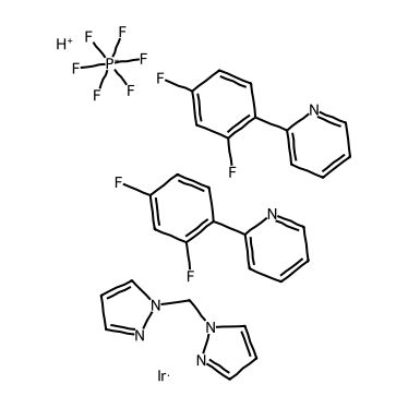 F[P-](F)(F)(F)(F)F.Fc1ccc(-c2ccccn2)c(F)c1.Fc1ccc(-c2ccccn2)c(F)c1.[H+].[Ir].c1cnn(Cn2cccn2)c1